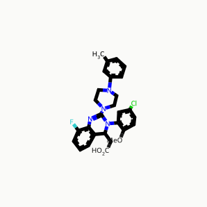 COc1ccc(Cl)cc1N1C(N2CCN(c3cccc(C)c3)CC2)=Nc2c(F)cccc2C1CC(=O)O